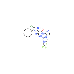 Nc1nn2c(c1C(=O)Nc1cnccc1N1CCN(CC(F)(F)F)CC1)NCC(Cl)C2C1CCCCCCCCCC1